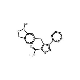 NC(=O)c1nnn(-c2ccccc2)c1Cc1ccc2c(c1)B(O)OC2